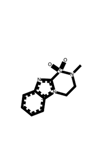 CN1CCn2c(nc3ccccc32)S1(=O)=O